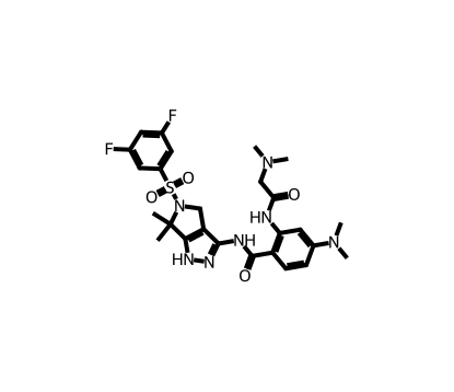 CN(C)CC(=O)Nc1cc(N(C)C)ccc1C(=O)Nc1n[nH]c2c1CN(S(=O)(=O)c1cc(F)cc(F)c1)C2(C)C